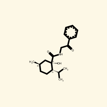 CC(C)[C@@H]1CC[C@@H](C)C[C@@]1(O)C(=O)NCC(=O)c1ccccc1